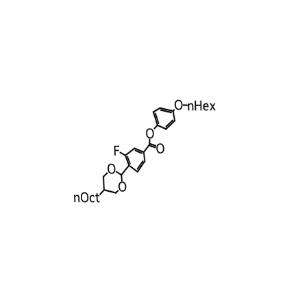 CCCCCCCCC1COC(c2ccc(C(=O)Oc3ccc(OCCCCCC)cc3)cc2F)OC1